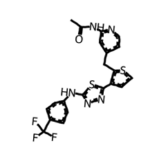 CC(=O)Nc1cc(Cc2sccc2-c2nnc(Nc3ccc(C(F)(F)F)cc3)s2)ccn1